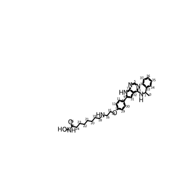 CC(Nc1ncnc2[nH]c(-c3ccc(OCCNCCCCCCCC(=O)NO)cc3)cc12)c1ccccc1